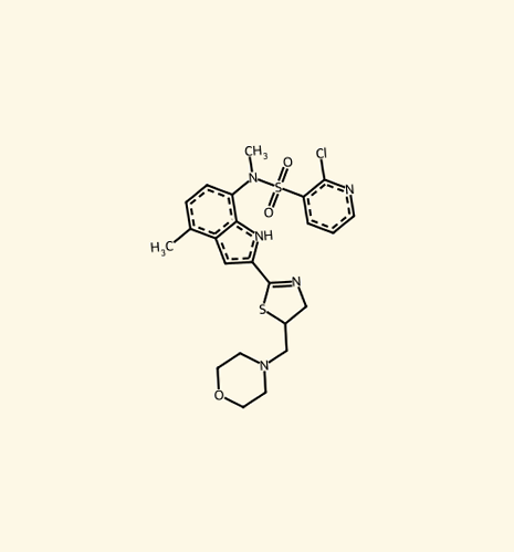 Cc1ccc(N(C)S(=O)(=O)c2cccnc2Cl)c2[nH]c(C3=NCC(CN4CCOCC4)S3)cc12